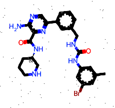 Cc1cc(Br)cc(NC(=O)NCc2cccc(-c3cnc(N)c(C(=O)N[C@H]4CCCNC4)n3)c2)c1